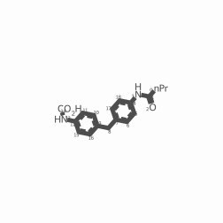 CCCC(=O)Nc1ccc(Cc2ccc(NC(=O)O)cc2)cc1